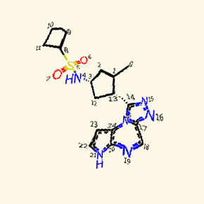 CC1C[C@@H](NS(=O)(=O)C2CCC2)C[C@H]1c1nnc2cnc3[nH]ccc3n12